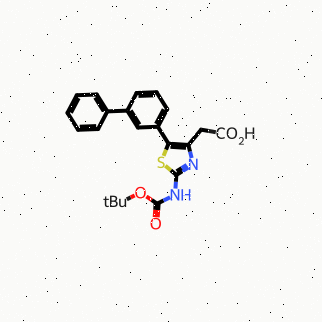 CC(C)(C)OC(=O)Nc1nc(CC(=O)O)c(-c2cccc(-c3ccccc3)c2)s1